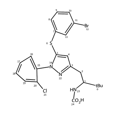 CC(C)(C)C(Cc1cc(Sc2cccc(Br)c2)n(-c2ccccc2Cl)n1)NC(=O)O